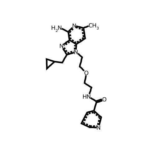 Cc1cc2c(nc(CC3CC3)n2CCOCCNC(=O)c2cccnc2)c(N)n1